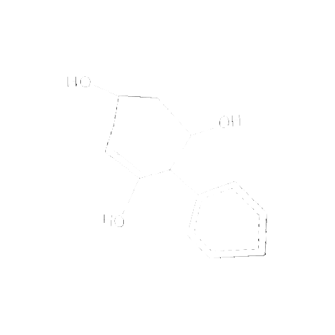 OC1=CC(O)CC(O)C1c1ccccc1